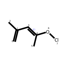 C=C(C)/C=C(\C)OCl